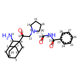 NC1C2CC3CC(C2)CC1(C(=O)CN1CCC[C@@H]1C(=O)NC(=O)c1ccccc1)C3